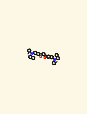 Cc1ccccc1N(c1ccc2cc3c(cc2c1)oc1c3ccc2c3cc4ccc(N(c5ccccc5C)c5cccc6ccccc56)cc4cc3oc21)c1cccc2ccccc12